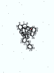 O=C(O)C(c1cccc2ccccc12)C(C(O)=S)(c1nc2cccc(Cc3ccccc3)c2s1)c1cccc2ccccc12